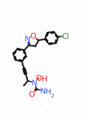 CC(C#Cc1cccc(C2=NOC(c3ccc(Cl)cc3)C2)c1)N(O)C(N)=O